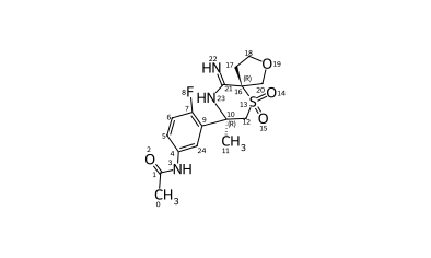 CC(=O)Nc1ccc(F)c([C@]2(C)CS(=O)(=O)[C@]3(CCOC3)C(=N)N2)c1